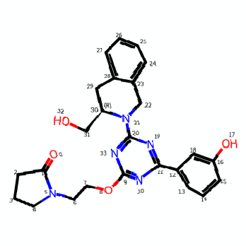 O=C1CCCN1CCOc1nc(-c2cccc(O)c2)nc(N2Cc3ccccc3C[C@@H]2CO)n1